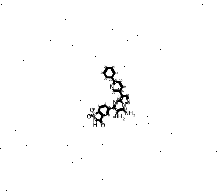 Bc1c(-c2ccc3c(c2)C(=O)NS3(=O)=O)nc2c(-c3ccc(C4C=CC=CC4)nc3)cnn2c1N